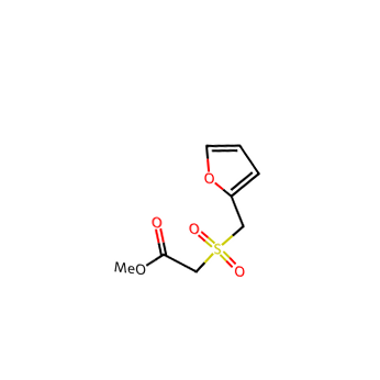 COC(=O)CS(=O)(=O)Cc1ccco1